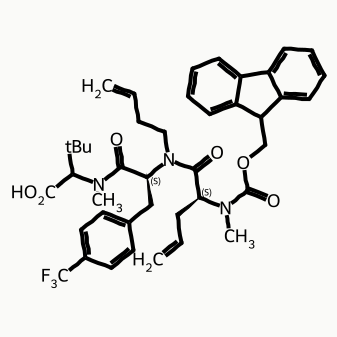 C=CCCN(C(=O)[C@H](CC=C)N(C)C(=O)OCC1c2ccccc2-c2ccccc21)[C@@H](Cc1ccc(C(F)(F)F)cc1)C(=O)N(C)C(C(=O)O)C(C)(C)C